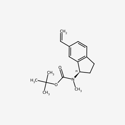 C=Cc1ccc2c(c1)[C@H](N(C)C(=O)OC(C)(C)C)CC2